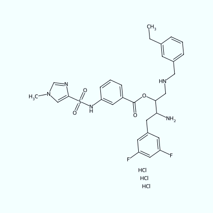 CCc1cccc(CNCC(OC(=O)c2cccc(NS(=O)(=O)c3cn(C)cn3)c2)C(N)Cc2cc(F)cc(F)c2)c1.Cl.Cl.Cl